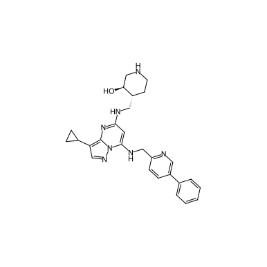 O[C@H]1CNCC[C@@H]1CNc1cc(NCc2ccc(-c3ccccc3)cn2)n2ncc(C3CC3)c2n1